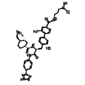 CCN(CC)CCCNC(=O)c1ccc(-c2ccc(C[C@H](NC(=O)[C@H]3CC[C@H](CN)CC3)C(=O)Nc3ccc(-c4nn[nH]n4)cc3)cc2)c(C)c1.Cl